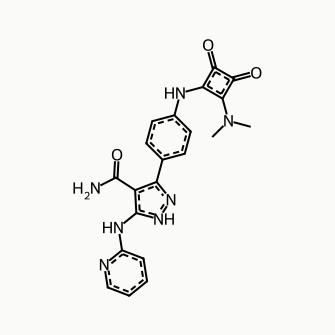 CN(C)c1c(Nc2ccc(-c3n[nH]c(Nc4ccccn4)c3C(N)=O)cc2)c(=O)c1=O